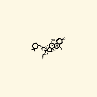 C[C@@H]1C[C@H]2[C@@H]3C[C@H](F)C4=CC(=O)C=C[C@]4(C)[C@@]3(F)[C@@H](O)C[C@]2(C)[C@@]1(OC(=O)OC1CCCC(C)(C)C1)C(=O)OCF